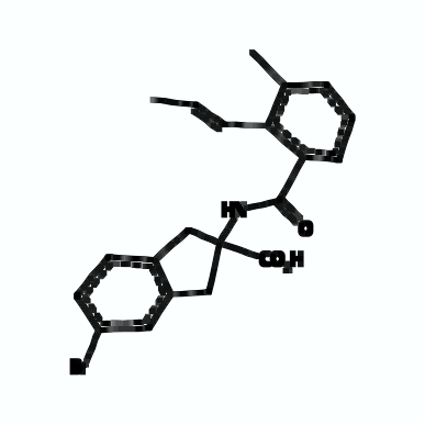 CC=Cc1c(C)cccc1C(=O)NC1(C(=O)O)Cc2ccc(Br)cc2C1